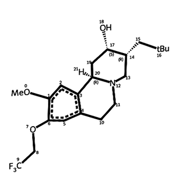 COc1cc2c(cc1OCC(F)(F)F)CCN1C[C@@H](CC(C)(C)C)[C@@H](O)C[C@H]21